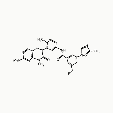 CNc1ncc2c(n1)N(C)C(=O)N(c1cc(NC(=O)c3cc(CF)cc(-n4cnc(C)c4)c3)ccc1C)C2